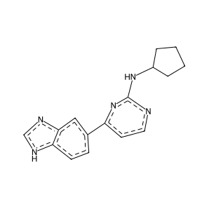 c1cc(-c2ccc3[nH]cnc3c2)nc(NC2CCCC2)n1